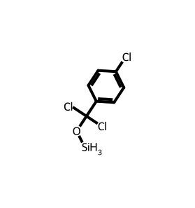 [SiH3]OC(Cl)(Cl)c1ccc(Cl)cc1